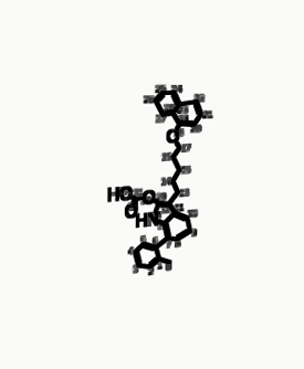 Cc1ccccc1-c1cccc2c(CCCCCOc3cccc4ccccc34)c(OC(=O)O)[nH]c12